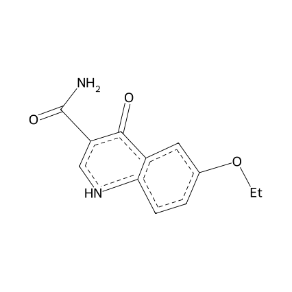 CCOc1ccc2[nH]cc(C(N)=O)c(=O)c2c1